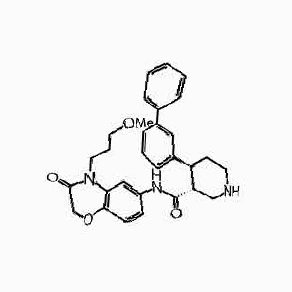 COCCCN1C(=O)COc2ccc(NC(=O)[C@H]3CNCC[C@@H]3c3cccc(-c4ccccc4)c3)cc21